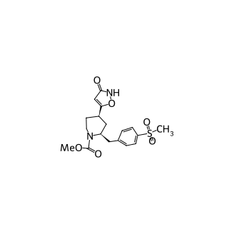 COC(=O)N1CC[C@@H](c2cc(=O)[nH]o2)C[C@H]1Cc1ccc(S(C)(=O)=O)cc1